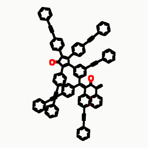 C=C(C(=O)/C(=C(/c1ccc(C#Cc2ccccc2)cc1)c1cc(C#Cc2ccccc2)cc(C2=C(c3ccc(C#Cc4ccccc4)cc3)C(=O)C(c3ccc(C#Cc4ccccc4)cc3)=C2c2ccc(C#Cc3ccccc3)cc2)c1)c1ccc(C#Cc2ccccc2)cc1)c1ccccc1